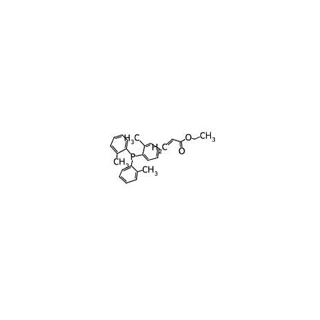 C=CC(=O)OCC.Cc1ccccc1P(c1ccccc1C)c1ccccc1C